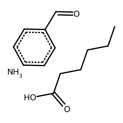 CCCCCC(=O)O.N.O=Cc1ccccc1